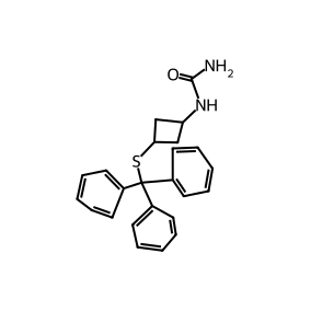 NC(=O)NC1CC(SC(c2ccccc2)(c2ccccc2)c2ccccc2)C1